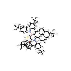 CC(C)(C)c1ccc(-c2cc(C(C)(C)C)ccc2N2c3c(sc4ccccc34)B3c4c(c5ccc6cc(C(C)(C)C)cc7ccc(c42)c5c67)-c2cc(C(C)(C)C)cc4c5cc(C(C)(C)C)ccc5n3c24)cc1